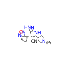 CC(C)N1CCC(C2=C(C#N)C(c3cccc4nonc34)c3c[nH]nc3N2)CC1